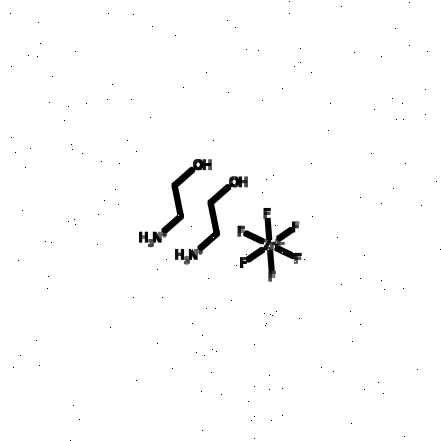 [F][Zr-2]([F])([F])([F])([F])[F].[NH3+]CCO.[NH3+]CCO